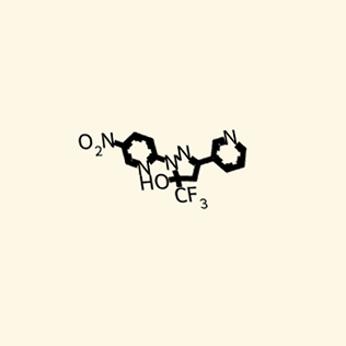 O=[N+]([O-])c1ccc(N2N=C(c3cccnc3)CC2(O)C(F)(F)F)nc1